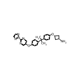 CC(C)(c1ccc(Oc2cnc(-n3nccn3)nc2)cc1)c1ccc(O[C@H]2C[C@H](N)C2)cc1